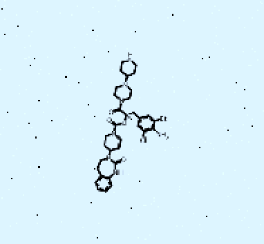 CCc1cc(C[C@@H](OC(=O)N2CCC(N3CCc4ccccc4NC3=O)CC2)C(=O)N2CCN(C3CCNCC3)CC2)cc(Cl)c1N